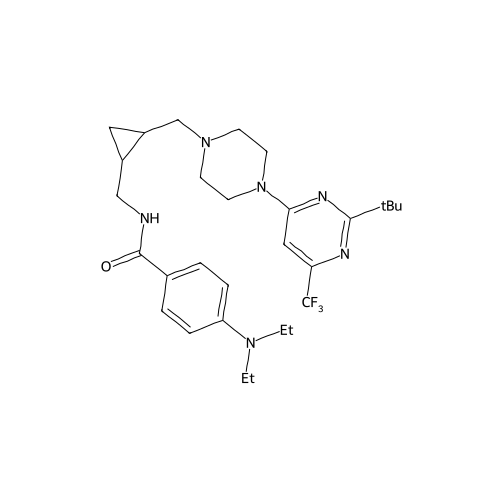 CCN(CC)c1ccc(C(=O)NCC2CC2CN2CCN(c3cc(C(F)(F)F)nc(C(C)(C)C)n3)CC2)cc1